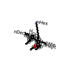 C=CCOC(=O)OC[C@H]1O[C@@H](OC[C@H]2O[C@H](O)[C@@H](NC(=O)CC(=O)CCCCCCCCCCC)[C@@H](OCCCCCCCCCC)[C@@H]2OC(=O)OCC=C)[C@H](OC(=O)CCCCCCCCC/C=C\CCCCCC)[C@@H](OCC[C@H](CCCCCCC)OC)[C@@H]1OP(=O)(OCC=C)OCC=C